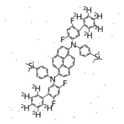 [2H]c1c([2H])c([2H])c(-c2cc(N(c3ccc([Si](C)(C)C)cc3)c3ccc4ccc5c(N(c6ccc([Si](C)(C)C)cc6)c6cc(-c7c([2H])c([2H])c([2H])c([2H])c7[2H])c(F)cc6F)ccc6ccc3c4c65)c(F)cc2F)c([2H])c1[2H]